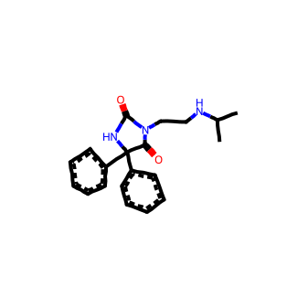 CC(C)NCCN1C(=O)NC(c2ccccc2)(c2ccccc2)C1=O